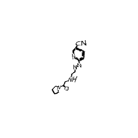 N#Cc1ccc(N=NCCNCC(=O)N2CCCC2)nc1